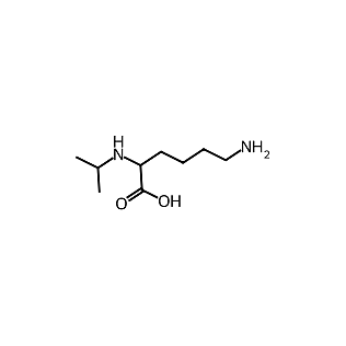 CC(C)NC(CCCCN)C(=O)O